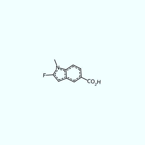 Cn1c(F)cc2cc(C(=O)O)ccc21